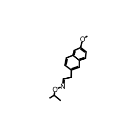 COc1ccc2cc(CC=NOC(C)C)ccc2c1